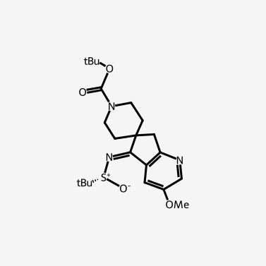 COc1cnc2c(c1)/C(=N\[S@+]([O-])C(C)(C)C)C1(CCN(C(=O)OC(C)(C)C)CC1)C2